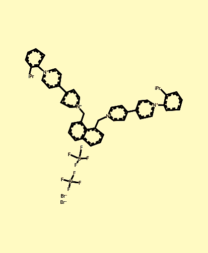 CC(C)c1ccccc1-[n+]1ccc(-c2cc[n+](Cc3cccc4cccc(C[n+]5ccc(-c6cc[n+](-c7ccccc7C(C)C)cc6)cc5)c34)cc2)cc1.F[B-](F)(F)F.F[B-](F)(F)F.[Br-].[Br-]